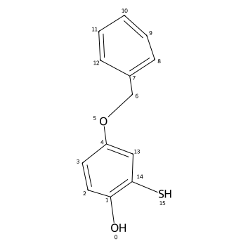 Oc1ccc(OCc2ccccc2)cc1S